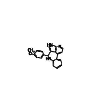 COc1ccc(C2Nc3ccccc3-c3ccnc4[nH]cc2c34)cc1